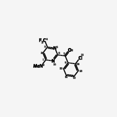 CNc1cc(C(F)(F)F)nc(C(=O)c2ccccc2Cl)n1